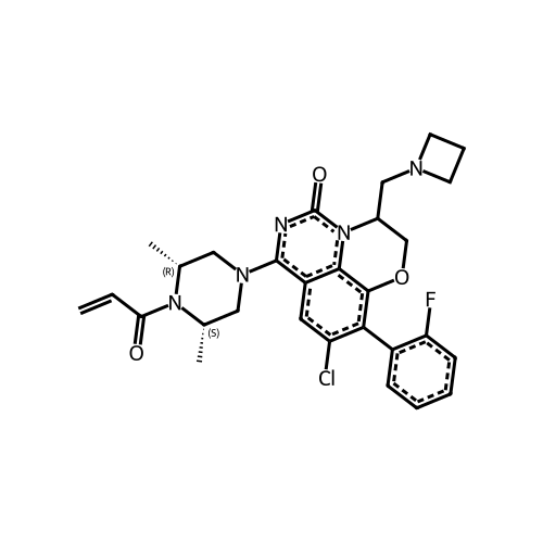 C=CC(=O)N1[C@H](C)CN(c2nc(=O)n3c4c(c(-c5ccccc5F)c(Cl)cc24)OCC3CN2CCC2)C[C@@H]1C